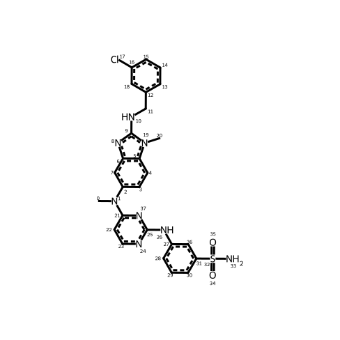 CN(c1ccc2c(c1)nc(NCc1cccc(Cl)c1)n2C)c1ccnc(Nc2cccc(S(N)(=O)=O)c2)n1